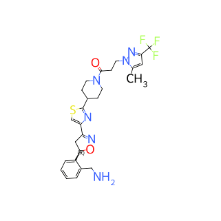 Cc1cc(C(F)(F)F)nn1CCC(=O)N1CCC(c2nc(C3=NO[C@@H](c4ccccc4CN)C3)cs2)CC1